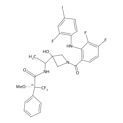 CO[C@@](C(=O)NC(C)C1(O)CN(C(=O)c2ccc(F)c(F)c2Nc2ccc(I)cc2F)C1)(c1ccccc1)C(F)(F)F